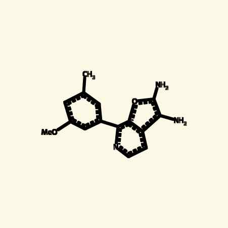 COc1cc(C)cc(-c2nccc3c(N)c(N)oc23)c1